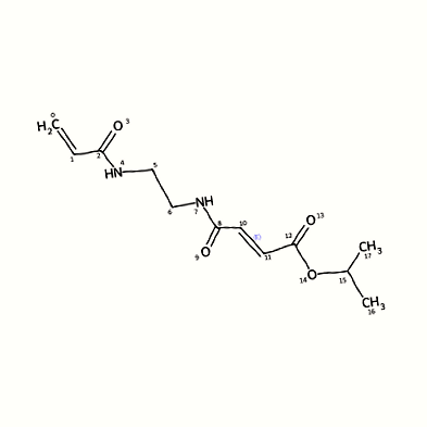 C=CC(=O)NCCNC(=O)/C=C/C(=O)OC(C)C